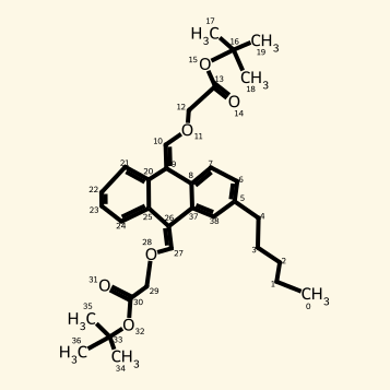 CCCCCc1ccc2c(=COCC(=O)OC(C)(C)C)c3ccccc3c(=COCC(=O)OC(C)(C)C)c2c1